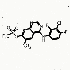 O=[N+]([O-])c1cc2c(Nc3ccc(F)c(Cl)c3F)ncnc2cc1OS(=O)(=O)C(F)(F)F